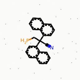 N#CC(CP)(c1cccc2ccccc12)c1cccc2ccccc12